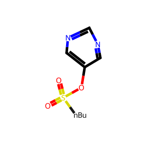 CCCCS(=O)(=O)Oc1cncnc1